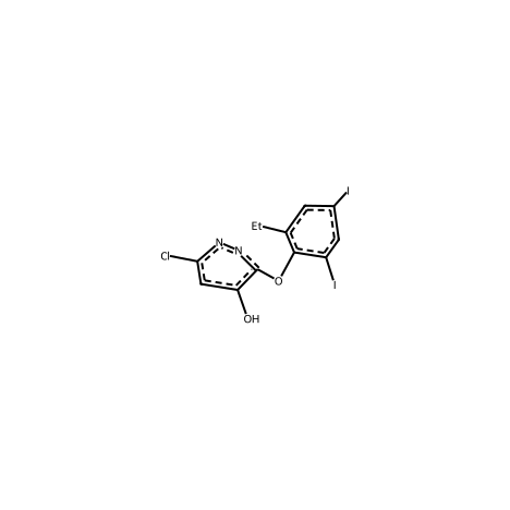 CCc1cc(I)cc(I)c1Oc1nnc(Cl)cc1O